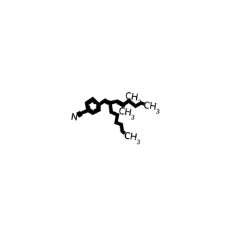 C=C(CCC)/C(C)=C/C(=C/c1ccc(C#N)cc1)CCCCCC